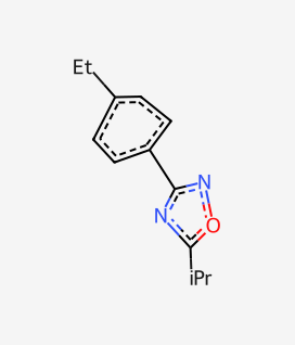 CCc1ccc(-c2noc(C(C)C)n2)cc1